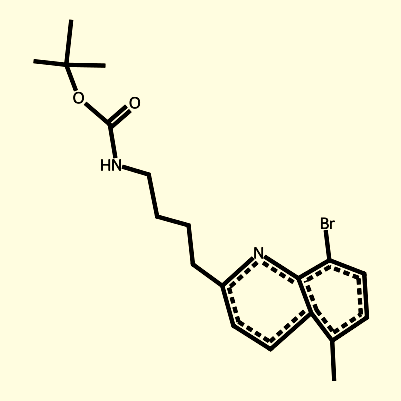 Cc1ccc(Br)c2nc(CCCCNC(=O)OC(C)(C)C)ccc12